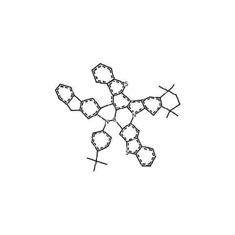 CC(C)(C)c1ccc(N2B3c4cc5sc6ccccc6c5cc4-n4c5cc6c(cc5c5c7sc8ccccc8c7c(c3c54)-c3cc4c(cc32)Cc2ccccc2-4)C(C)(C)CCC6(C)C)cc1